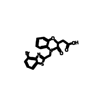 O=C(O)CC1Oc2ccccc2N(Cc2nc3c(Br)cccc3s2)C1=O